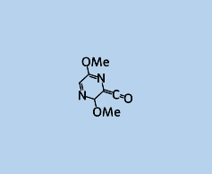 COC1=NC(=C=O)C(OC)N=C1